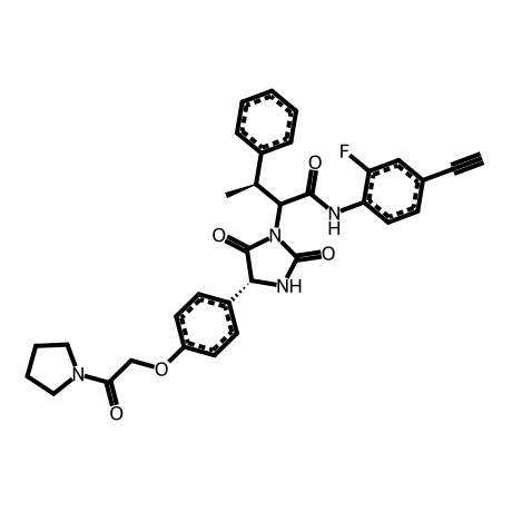 C#Cc1ccc(NC(=O)C([C@@H](C)c2ccccc2)N2C(=O)N[C@H](c3ccc(OCC(=O)N4CCCC4)cc3)C2=O)c(F)c1